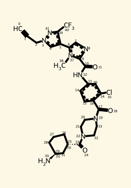 C#CCn1cc(-c2cnc(C(=O)Nc3ccc(C(=O)N4CCN(C(=O)[C@H]5CCC[C@H](N)C5)CC4)c(Cl)c3)n2C)c(C(F)(F)F)n1